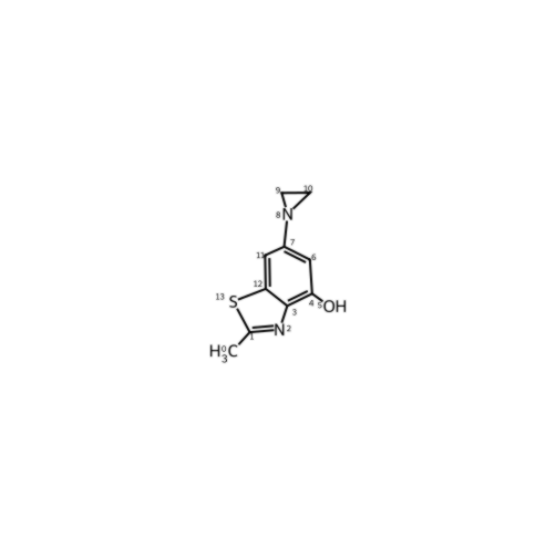 Cc1nc2c(O)cc(N3CC3)cc2s1